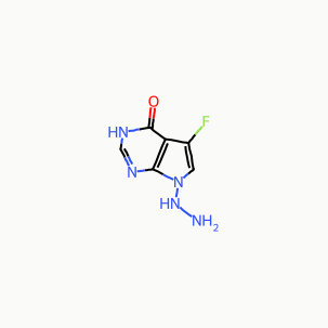 NNn1cc(F)c2c(=O)[nH]cnc21